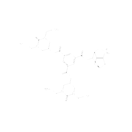 COCN1CC(OC(=O)c2cc(C(=O)OC3CN(COC)C(=O)N(COC)C3)cc(C(=O)OC3C4CC5C3OS(=O)(=O)C5C4)c2)CN(COC)C1=O